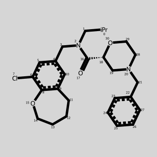 CC(C)CN(Cc1cc(Cl)c2c(c1)CCCCO2)C(=O)[C@H]1CN(Cc2ccccc2)CCO1